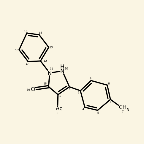 CC(=O)c1c(-c2ccc(C)cc2)[nH]n(-c2ccccc2)c1=O